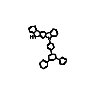 c1ccc(-c2cc(-c3ccccc3)cc(-c3ccc(-n4c5ccccc5c5cc6c(cc54)[nH]c4ccccc46)cc3)c2)cc1